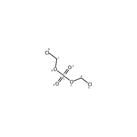 O=S(=O)(OCCl)OCCl